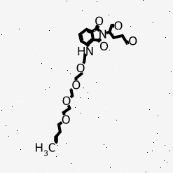 C/C=C/CCOCCOCCOCCOCCNc1cccc2c1C(=O)N(C(C=O)CCC=O)C2=O